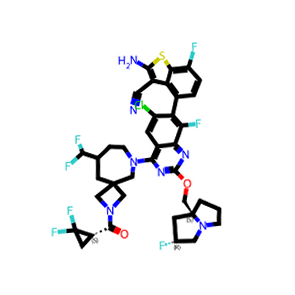 N#Cc1c(N)sc2c(F)ccc(-c3c(Cl)cc4c(N5CCC(C(F)F)CC6(CN(C(=O)[C@@H]7CC7(F)F)C6)C5)nc(OC[C@@]56CCCN5C[C@H](F)C6)nc4c3F)c12